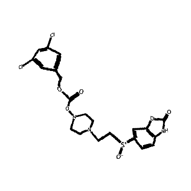 O=C(OCc1cc(Cl)cc(Cl)c1)ON1CCN(CC[S+]([O-])c2ccc3[nH]c(=O)oc3c2)CC1